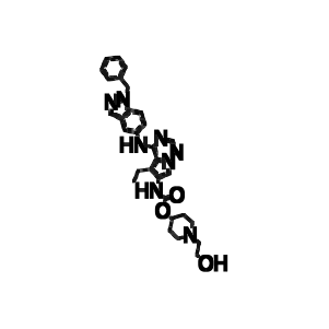 CCc1c(NC(=O)OC2CCN(CCO)CC2)cn2ncnc(Nc3ccc4c(cnn4Cc4ccccc4)c3)c12